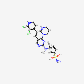 CN(c1ncc2c(n1)N1CCCN=C1C(c1ccnc(Cl)c1Cl)=C2)C1(C)C=CC(S(N)(=O)=O)=C1